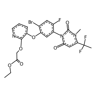 CCOC(=O)COc1ncccc1Oc1cc(-n2c(=O)cc(C(C)(F)F)n(C)c2=O)c(F)cc1Br